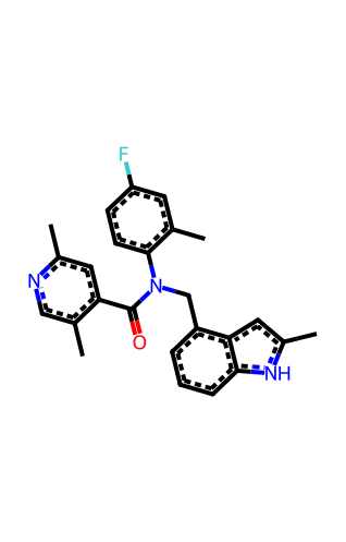 Cc1cc(C(=O)N(Cc2cccc3[nH]c(C)cc23)c2ccc(F)cc2C)c(C)cn1